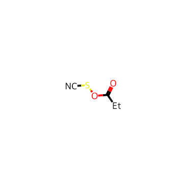 CCC(=O)OSC#N